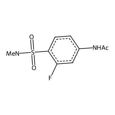 CNS(=O)(=O)c1ccc(NC(C)=O)cc1F